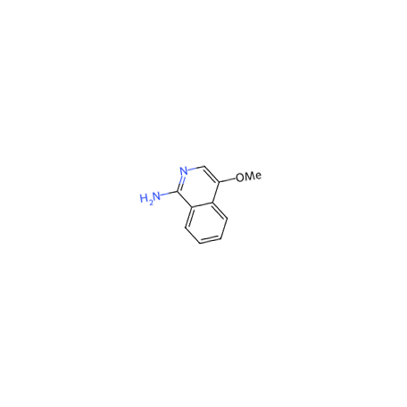 COc1cnc(N)c2ccccc12